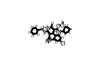 COc1ccccc1NC(=O)C1=C(C)NC(SCc2ccccc2)=C(C#N)C1c1ccc(Cl)cc1Cl